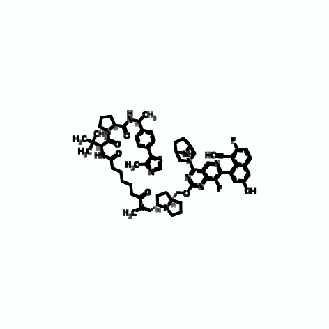 C#Cc1c(F)ccc2cc(O)cc(-c3ncc4c(N5CC6CCC(C5)N6)nc(OC[C@]56CCCN5[C@H](CN(C)C(=O)CCCCCC(=O)N[C@H](C(=O)N5CCC[C@H]5C(=O)N[C@@H](C)c5ccc(-c7scnc7C)cc5)C(C)(C)C)CC6)nc4c3F)c12